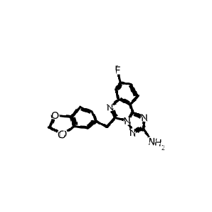 Nc1nc2c3ccc(F)cc3nc(Cc3ccc4c(c3)OCO4)n2n1